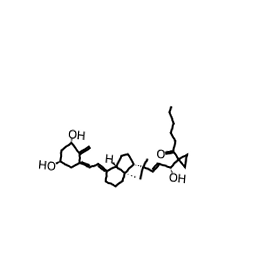 C=C1/C(=C\C=C2/CCC[C@]3(C)[C@@H](C(C)(C)/C=C/[C@@H](O)C4(C(=O)CCCCC)CC4)CC[C@@H]23)C[C@@H](O)C[C@@H]1O